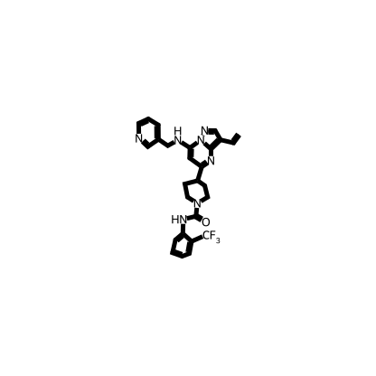 C=Cc1cnn2c(NCc3cccnc3)cc(C3CCN(C(=O)Nc4ccccc4C(F)(F)F)CC3)nc12